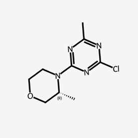 Cc1nc(Cl)nc(N2CCOC[C@H]2C)n1